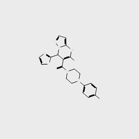 CC1=C(C(=O)N2CCN(c3ccc(F)cc3)CC2)C(c2nccs2)n2nccc2N1